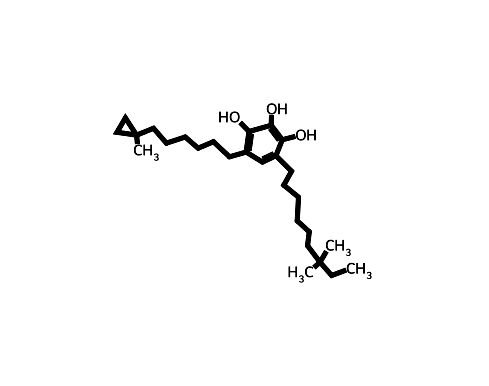 CCC(C)(C)CCCCCCc1cc(CCCCCCC2(C)CC2)c(O)c(O)c1O